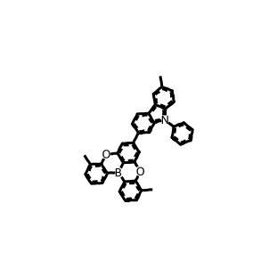 Cc1ccc2c(c1)c1ccc(-c3cc4c5c(c3)Oc3c(C)cccc3B5c3cccc(C)c3O4)cc1n2-c1ccccc1